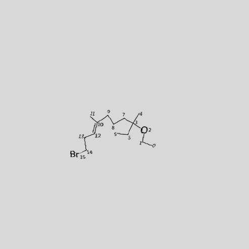 CCOC(C)(CC)CCCC(C)=CCCBr